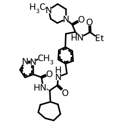 CCC(=O)NC(Cc1ccc(CNC(=O)[C@@H](NC(=O)c2ccnn2C)C2CCCCCC2)cc1)C(=O)N1CCN(C)CC1